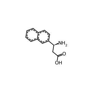 N[C@@H](CC(=O)O)c1ccc2ccccc2c1